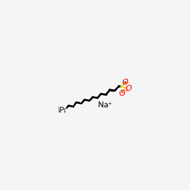 CC(C)CCCCCCCCCCCCCS(=O)(=O)[O-].[Na+]